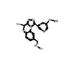 CCCCOc1cncc(-c2nnc3c(C)nc4ccc(CNCC)cc4n23)c1